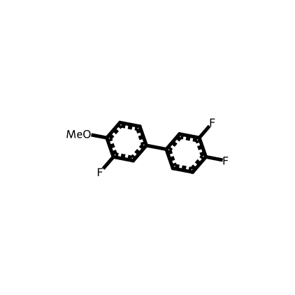 COc1ccc(-c2ccc(F)c(F)c2)cc1F